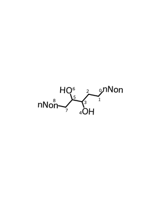 CCCCCCCCCCCC(O)C(O)CCCCCCCCCC